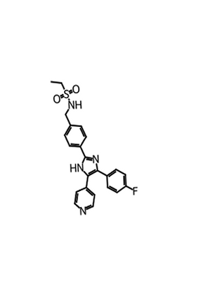 CCS(=O)(=O)NCc1ccc(-c2nc(-c3ccc(F)cc3)c(-c3ccncc3)[nH]2)cc1